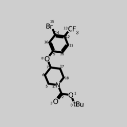 CC(C)(C)OC(=O)N1CCC(Oc2ccc(C(F)(F)F)c(Br)c2)CC1